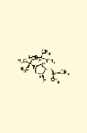 CN(C)CC1[C@@H](C(C)(C)C)N(C(C)(C)C)C[C@@H]1F